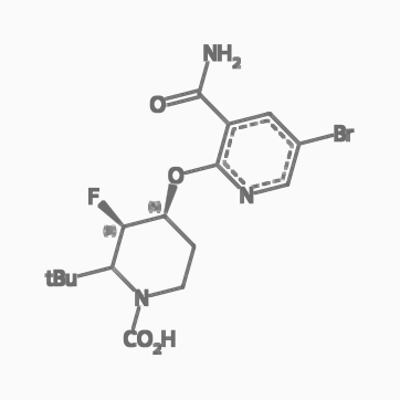 CC(C)(C)C1[C@@H](F)[C@@H](Oc2ncc(Br)cc2C(N)=O)CCN1C(=O)O